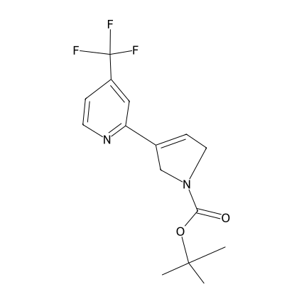 CC(C)(C)OC(=O)N1CC=C(c2cc(C(F)(F)F)ccn2)C1